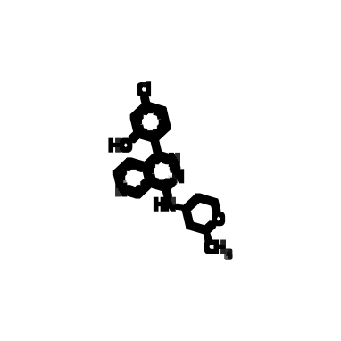 C[C@H]1C[C@H](Nc2nnc(-c3ccc(Cl)cc3O)c3ccncc23)CCO1